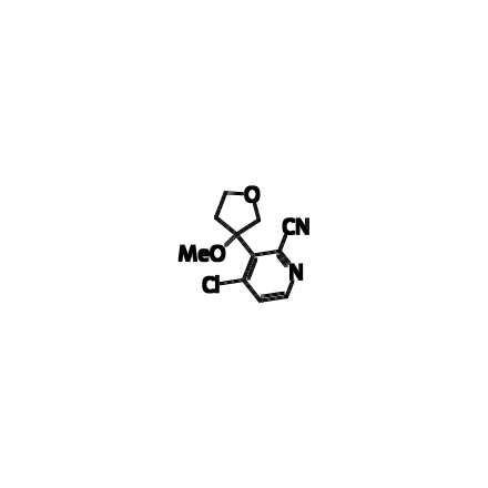 COC1(c2c(Cl)ccnc2C#N)CCOC1